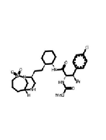 COC(=O)N[C@H](C(=O)N[C@H]1CCCC[C@@H]1CC[C@H]1CN[C@@H]2CCCS(=O)(=O)N1C2)[C@@H](c1ccc(Cl)cc1)C(C)C